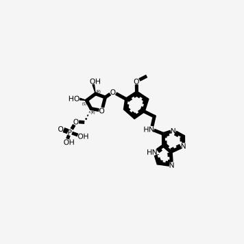 COc1cc(CNc2ncnc3nc[nH]c23)ccc1OC1O[C@H](COP(=O)(O)O)[C@@H](O)[C@H]1O